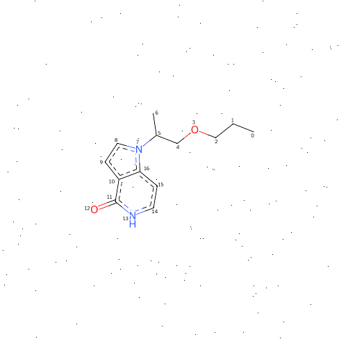 CCCOCC(C)n1ccc2c(=O)[nH]ccc21